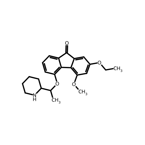 CCOc1cc(OC)c2c(c1)C(=O)c1cccc(OC(C)C3CCCCN3)c1-2